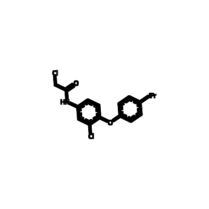 CC(C)c1ccc(Oc2ccc(NC(=O)CCl)cc2Cl)cc1